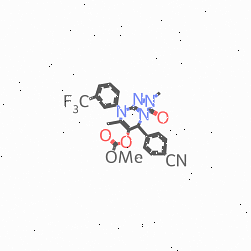 COC(=O)OC1=C(C)N(c2cccc(C(F)(F)F)c2)c2nn(C)c(=O)n2C1c1ccc(C#N)cc1